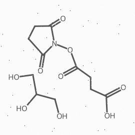 O=C(O)CCC(=O)ON1C(=O)CCC1=O.OCC(O)CO